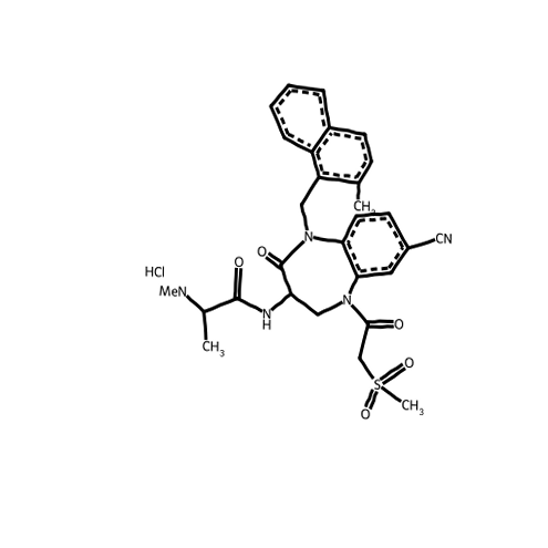 CNC(C)C(=O)NC1CN(C(=O)CS(C)(=O)=O)c2cc(C#N)ccc2N(Cc2c(C)ccc3ccccc23)C1=O.Cl